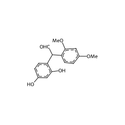 COc1ccc(C(C=O)c2ccc(O)cc2O)c(OC)c1